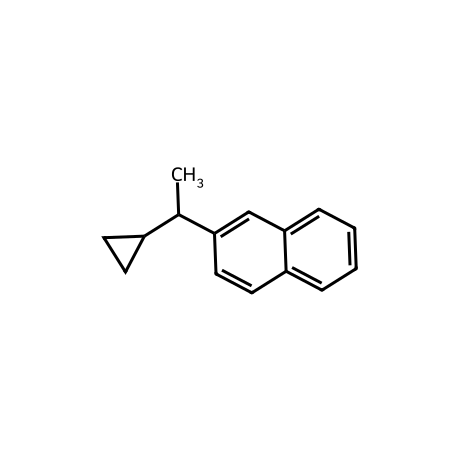 CC(c1ccc2ccccc2c1)C1CC1